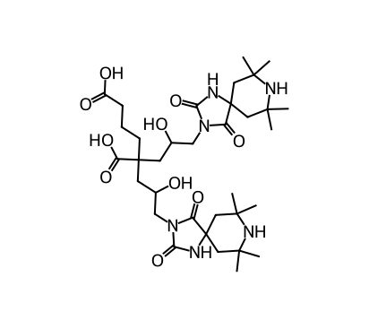 CC1(C)CC2(CC(C)(C)N1)NC(=O)N(CC(O)CC(CCCC(=O)O)(CC(O)CN1C(=O)NC3(CC(C)(C)NC(C)(C)C3)C1=O)C(=O)O)C2=O